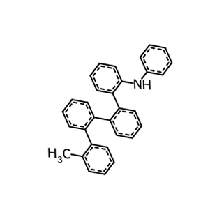 Cc1ccccc1-c1ccccc1-c1ccccc1-c1ccccc1Nc1ccccc1